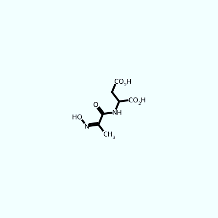 C/C(=N/O)C(=O)NC(CC(=O)O)C(=O)O